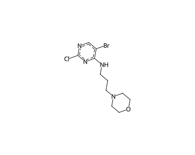 Clc1ncc(Br)c(NCCCN2CCOCC2)n1